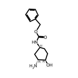 N[C@@H]1C[C@@H](NC(=O)OCc2ccccc2)CC[C@H]1O